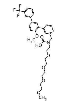 COCCOCCOCCOCCN(Cc1cc(-c2cc(-c3cccc(C(F)(F)F)c3)ccc2OC)ccn1)C(=O)O